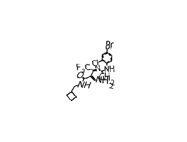 C=C(/N=C(\C(=C/N)C(=O)NCC1CCC1)C(F)(F)F)Nc1ccc(Br)cc1Cl